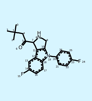 CC(C)(C)CC(=O)C1NCc2c1c1cc(F)ccc1n2-c1ccc(F)cc1